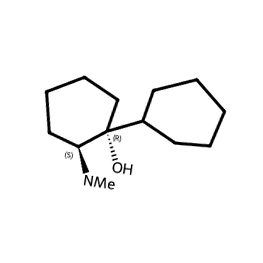 CN[C@H]1CCCC[C@@]1(O)C1CCCCC1